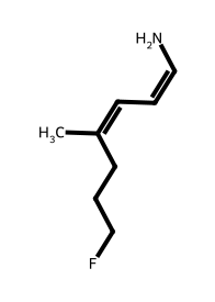 C/C(=C/C=C\N)CCCF